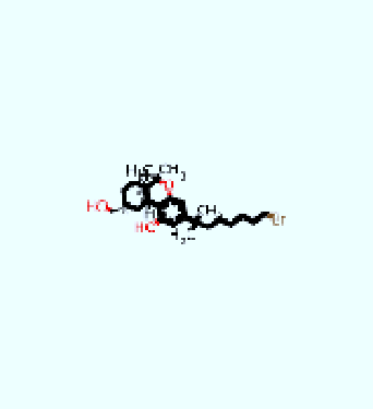 CC(C)(CCCCCCBr)c1cc(O)c2c(c1)OC(C)(C)[C@@H]1CC[C@@H](CO)C[C@@H]21